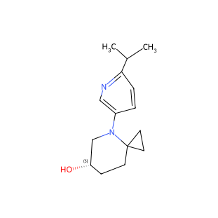 CC(C)c1ccc(N2C[C@@H](O)CCC23CC3)cn1